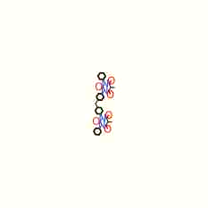 CC1C(=O)N(c2ccccc2)C(=O)N(c2ccc(Cc3ccc(N4C(=O)C(C)C(=O)N(c5ccccc5)C4=O)cc3)cc2)C1=O